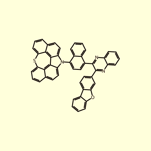 c1ccc2nc(-c3ccc(-n4c5ccc6cccc7sc8cccc9ccc4c(c98)c5c67)c4ccccc34)c(-c3ccc4c(c3)oc3ccccc34)nc2c1